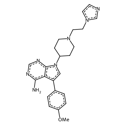 COc1ccc(-c2cn(C3CCN(CCn4ccnc4)CC3)c3ncnc(N)c23)cc1